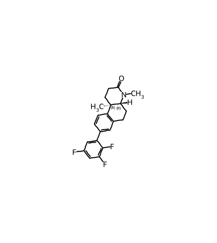 CN1C(=O)CC[C@]2(C)c3ccc(-c4cc(F)cc(F)c4F)cc3CC[C@@H]12